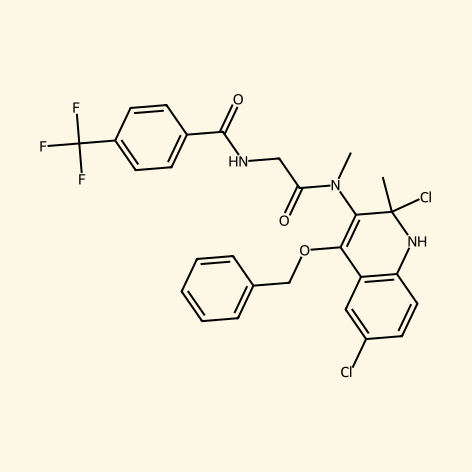 CN(C(=O)CNC(=O)c1ccc(C(F)(F)F)cc1)C1=C(OCc2ccccc2)c2cc(Cl)ccc2NC1(C)Cl